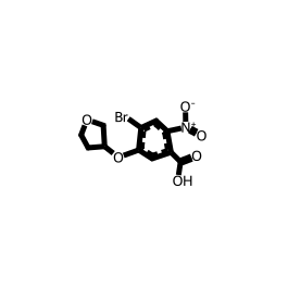 O=C(O)c1cc(OC2CCOC2)c(Br)cc1[N+](=O)[O-]